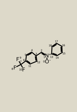 [O-][N+](=Cc1ccc(C(F)(F)F)cc1)c1ccccc1